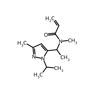 C=CC(=O)N(C)C(C)c1cc(C)nn1C(C)C